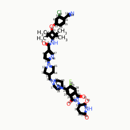 CC1(C)C(NC(=O)c2ccc(N3CCC(CN4CC5CCC4CN5c4cc5c(cc4F)C(=O)N(C4CCC(=O)NC4=O)C5=O)CC3)nc2)C(C)(C)C1Oc1ccc(C#N)c(Cl)c1